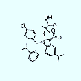 CC(C)c1ccc2c(c1)C(=S(=O)=O)C(CC(C)(C)C(=O)O)N2Cc1ccc(Cl)cc1.CC(C)c1ccccc1